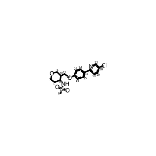 CS(=O)(=O)NC1CCOCC1COc1ccc(-c2ccc(Cl)cn2)cc1